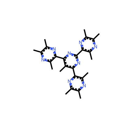 Cc1nc(C)c(-c2nc(-c3nc(C)c(C)nc3C)c(C)c(-c3nc(C)c(C)nc3C)n2)nc1C